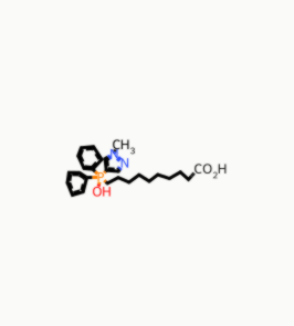 Cn1cc(P(O)(CCCCCCCCCC(=O)O)(c2ccccc2)c2ccccc2)cn1